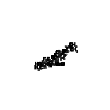 COCc1c(-c2cccc(OCCN(C)C)c2Cl)noc1-c1cnn([C@H]2C[C@@](C)(O)C2)c1C(F)(F)F